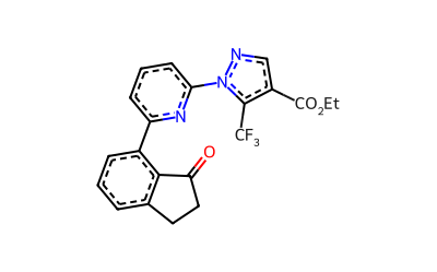 CCOC(=O)c1cnn(-c2cccc(-c3cccc4c3C(=O)CC4)n2)c1C(F)(F)F